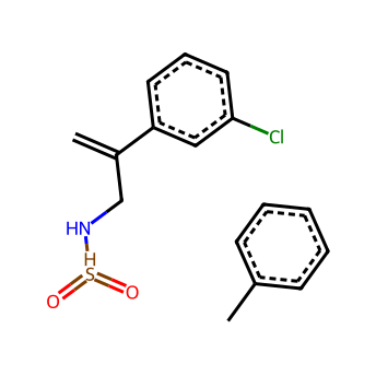 C=C(CN[SH](=O)=O)c1cccc(Cl)c1.Cc1ccccc1